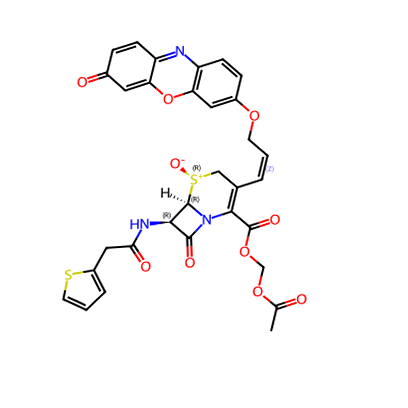 CC(=O)OCOC(=O)C1=C(/C=C\COc2ccc3nc4ccc(=O)cc-4oc3c2)C[S@+]([O-])[C@@H]2[C@H](NC(=O)Cc3cccs3)C(=O)N12